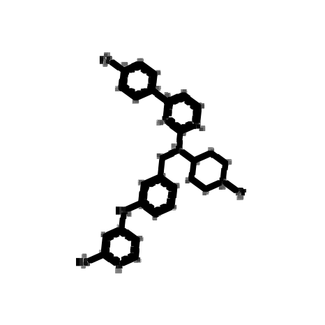 Cc1cc(Nc2cccc(CN(c3nccc(-c4ccc(C(F)(F)F)cc4)n3)C3CCN(C(C)C)CC3)c2)ccn1